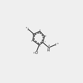 Clc1cc(I)ccc1NI